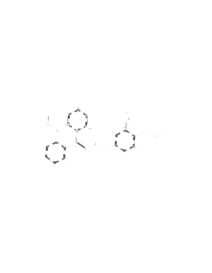 O=C(O)COc1ccc(SCC=C(c2ccccc2)c2ccccc2C(F)C(F)F)cc1Br